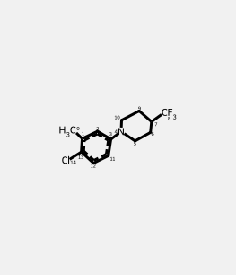 Cc1cc(N2CCC(C(F)(F)F)CC2)ccc1Cl